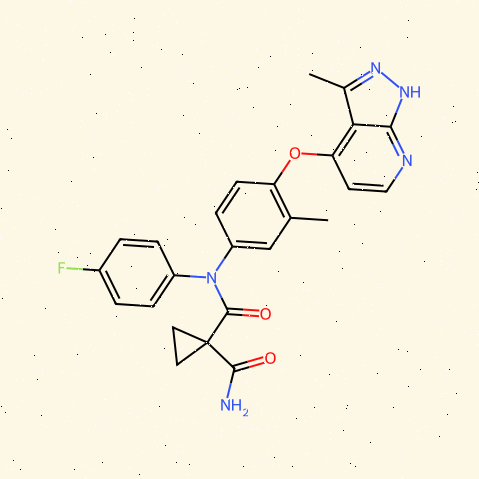 Cc1cc(N(C(=O)C2(C(N)=O)CC2)c2ccc(F)cc2)ccc1Oc1ccnc2[nH]nc(C)c12